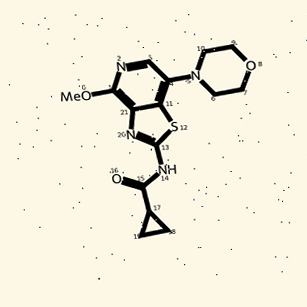 COc1ncc(N2CCOCC2)c2sc(NC(=O)C3CC3)nc12